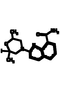 CC1CN(c2ccc3cccc(C(N)=O)c3n2)CC(C)(I)O1